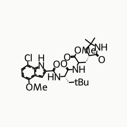 COC(=O)C(C[C@@H]1CC(C)(C)NC1=O)NC(=O)[C@H](CC(C)(C)C)NC(=O)c1cc2c(OC)ccc(Cl)c2[nH]1